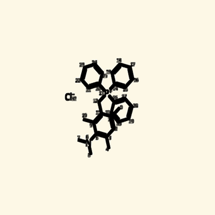 Cc1cc(C)c(N(C)C)c(C)c1C[P+](c1ccccc1)(c1ccccc1)c1ccccc1.[Cl-]